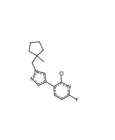 CC1(Cn2cc(-c3ccc(F)nc3Cl)cn2)CCCC1